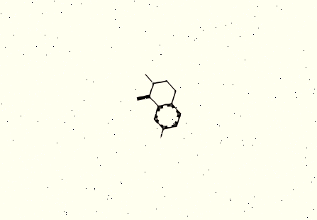 C=C1c2cc(F)ccc2CCC1C